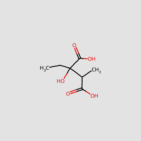 CCC(O)(C(=O)O)C(C)C(=O)O